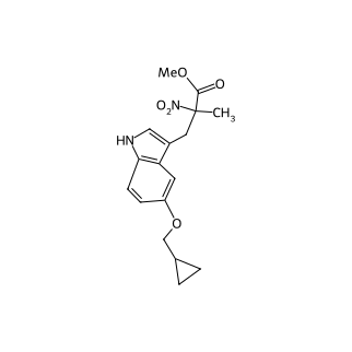 COC(=O)C(C)(Cc1c[nH]c2ccc(OCC3CC3)cc12)[N+](=O)[O-]